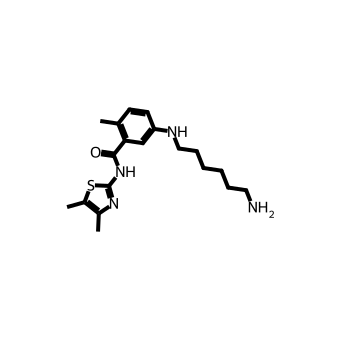 Cc1ccc(NCCCCCCN)cc1C(=O)Nc1nc(C)c(C)s1